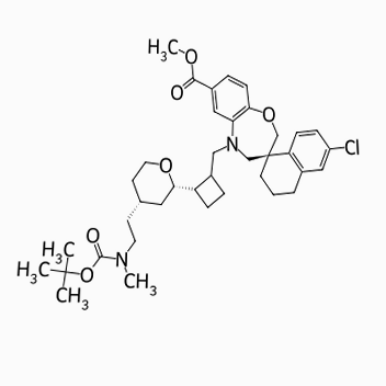 COC(=O)c1ccc2c(c1)N(CC1CCC1[C@@H]1C[C@H](CCN(C)C(=O)OC(C)(C)C)CCO1)C[C@@]1(CCCc3cc(Cl)ccc31)CO2